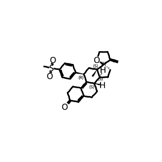 C=C1CCO[C@@]12CC[C@H]1[C@@H]3CCC4=CC(=O)CCC4=C3[C@@H](c3ccc(S(C)(=O)=O)cc3)C[C@@]12C